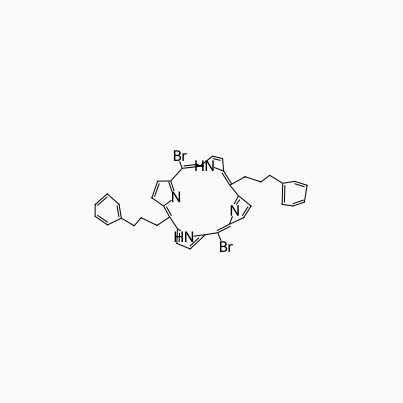 Brc1c2nc(c(CCCc3ccccc3)c3ccc([nH]3)c(Br)c3nc(c(CCCc4ccccc4)c4ccc1[nH]4)C=C3)C=C2